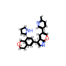 Cc1ccc(-c2coc3ncc(-c4cc5c(c([C@@H]6CCCN6)c4)COCC5)c-3c2)cn1